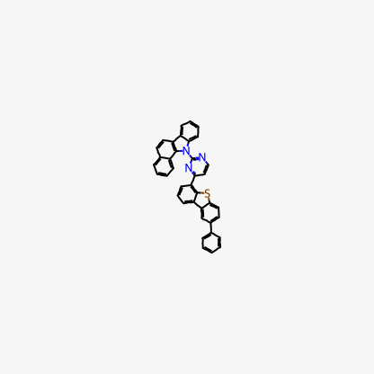 c1ccc(-c2ccc3sc4c(-c5ccnc(-n6c7ccccc7c7ccc8ccccc8c76)n5)cccc4c3c2)cc1